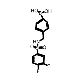 O=S(=O)(NCc1ccc(B(O)O)cc1)c1ccc(F)c(F)c1